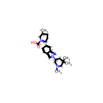 C[C@H]1CC[C@H](c2ccc3cn([C@@H]4CN(C)CC(C)(C)C4)nc3c2)N(C(=O)O)C1